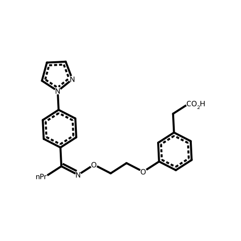 CCCC(=NOCCOc1cccc(CC(=O)O)c1)c1ccc(-n2cccn2)cc1